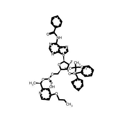 CCCOc1ccnc([C@@H](C)OS(OC[C@H]2O[C@@H](n3cnc4c(NC(=O)c5ccccc5)ncnc43)[C@H](F)[C@@H]2O[Si](c2ccccc2)(c2ccccc2)C(C)(C)C)=PO)c1